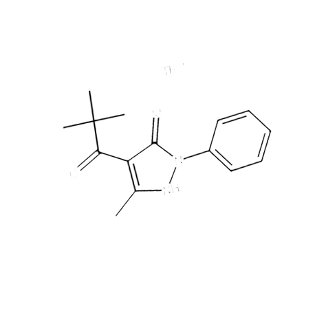 Cc1[nH]n(-c2ccccc2)c(=O)c1C(=O)C(C)(C)C.[Tb+3]